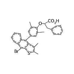 Cc1cc(-c2c3ccccc3c(Br)c3sc(C)c(C)c23)cc(C)c1OC(Cc1ccccc1)C(=O)O